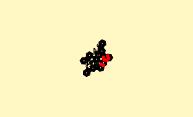 N#Cc1c(-c2cccc3c2sc2ccccc23)c(C#N)c(-n2c3ccccc3c3cc4c(cc32)sc2ccccc24)c(-c2cccc3c2sc2ccccc23)c1-n1c2ccccc2c2cc3c(cc21)sc1ccccc13